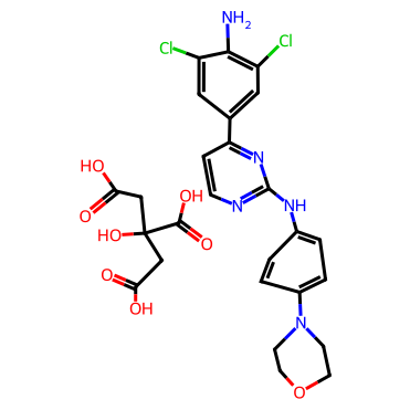 Nc1c(Cl)cc(-c2ccnc(Nc3ccc(N4CCOCC4)cc3)n2)cc1Cl.O=C(O)CC(O)(CC(=O)O)C(=O)O